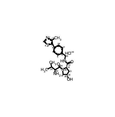 Cc1ncsc1-c1ccc(CNC(=O)[C@H]2C[C@@H](O)CN2C(=O)[C@@H](N)C(C)C)cc1.Cl